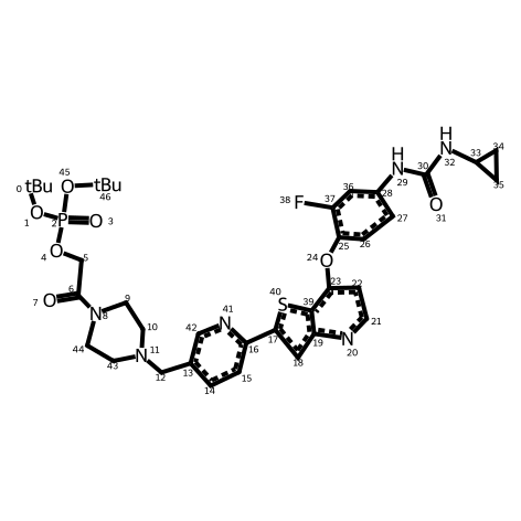 CC(C)(C)OP(=O)(OCC(=O)N1CCN(Cc2ccc(-c3cc4nccc(Oc5ccc(NC(=O)NC6CC6)cc5F)c4s3)nc2)CC1)OC(C)(C)C